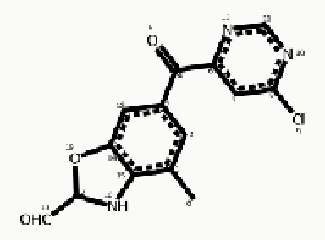 Cc1cc(C(=O)c2cc(Cl)ncn2)cc2c1NC(C=O)O2